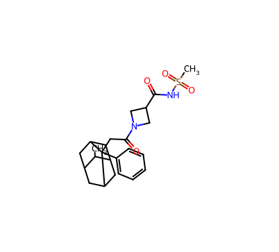 CC1C2CC3CC1CC(C2)C3(CC(=O)N1CC(C(=O)NS(C)(=O)=O)C1)c1ccccc1